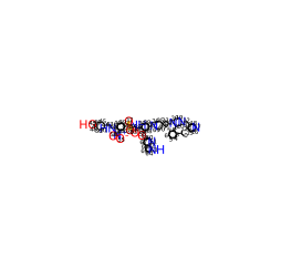 CC(C)c1ccccc1C1CN(Cc2cccnc2)CCN1C1CC2(CCN(c3ccc(C(=O)NS(=O)(=O)c4ccc(NC[C@H]5CC[C@](C)(O)CC5)c([N+](=O)[O-])c4)c(Oc4cnc5[nH]ccc5c4)c3)CC2)C1